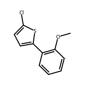 COc1[c]cccc1-c1ccc(Cl)s1